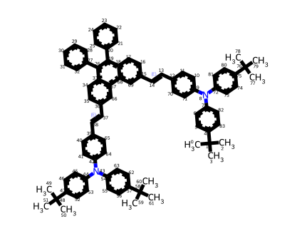 CC(C)(C)c1ccc(N(c2ccc(/C=C/c3ccc4c(-c5ccccc5)c(-c5ccccc5)c5ccc(/C=C/c6ccc(N(c7ccc(C(C)(C)C)cc7)c7ccc(C(C)(C)C)cc7)cc6)cc5c4c3)cc2)c2ccc(C(C)(C)C)cc2)cc1